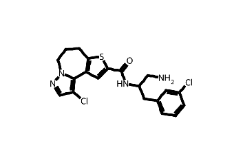 NCC(Cc1cccc(Cl)c1)NC(=O)c1cc2c(s1)CCCn1ncc(Cl)c1-2